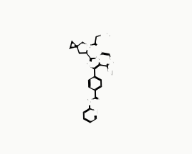 N#CCC(=O)N1CC2(CC2)CC1c1nc(-c2ccc(C(=O)Nc3ccccn3)cc2)c2c(N)nccn12